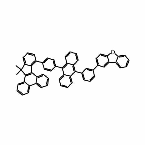 CC1(C)c2cccc(-c3ccc(-c4c5ccccc5c(-c5cccc(-c6ccc7oc8ccccc8c7c6)c5)c5ccccc45)cc3)c2-c2c1c1ccccc1c1ccccc21